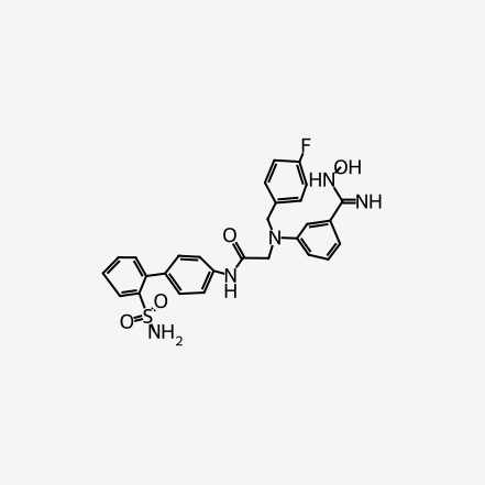 N=C(NO)c1cccc(N(CC(=O)Nc2ccc(-c3ccccc3S(N)(=O)=O)cc2)Cc2ccc(F)cc2)c1